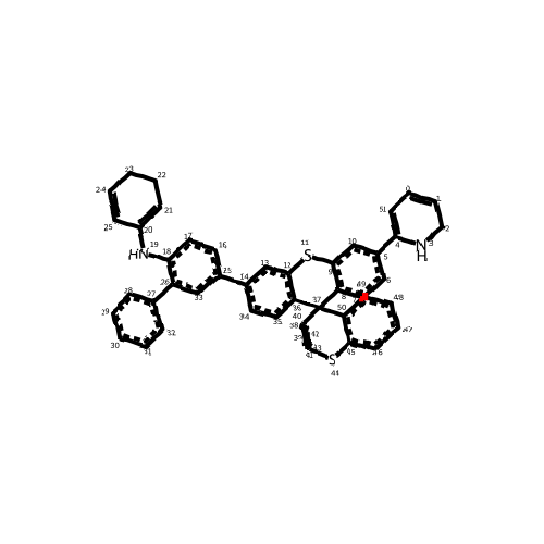 C1=CCNC(c2ccc3c(c2)Sc2cc(-c4ccc(NC5=CCCC=C5)c(-c5ccccc5)c4)ccc2C32c3ccccc3Sc3ccccc32)=C1